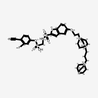 N#Cc1ccc(OP(=O)(O)CNS(=O)(=O)c2cc3cc(OCC[N+]45CC[N+](CCC[N+]67CCN(CC6)CC7)(CC4)CC5)ccc3s2)cc1F